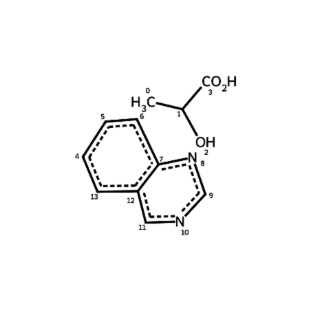 CC(O)C(=O)O.c1ccc2ncncc2c1